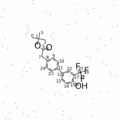 CC(C)(C)OC(=O)Cc1ccc(-c2ccc(O)c(C(F)(F)F)c2)cc1